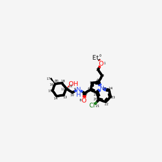 CCOCCc1cc(C(=O)NC[C@@]2(O)CCC[C@@H](C)C2)c2c(Cl)cccn12